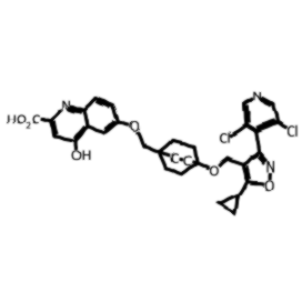 O=C(O)c1cc(O)c2cc(OCC34CCC(OCc5c(-c6c(Cl)cncc6Cl)noc5C5CC5)(CC3)CC4)ccc2n1